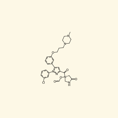 CN1CCN(CCCOc2cccc(-c3cc(C(=O)[N+]4(OC=O)CNC(=O)C4)nn3-c3cccc(Cl)c3)c2)CC1